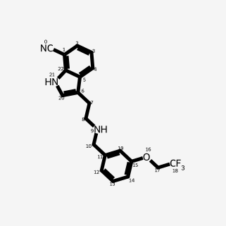 N#Cc1cccc2c(CCNCc3cccc(OCC(F)(F)F)c3)c[nH]c12